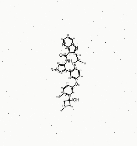 CN1CC(O)(c2cc(Oc3ccc(OC(F)F)c(-c4nn(C)cc4NC(=O)c4cnn5cccnc45)c3)ccc2F)C1